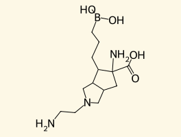 NCCN1CC2CC(N)(C(=O)O)C(CCCB(O)O)C2C1